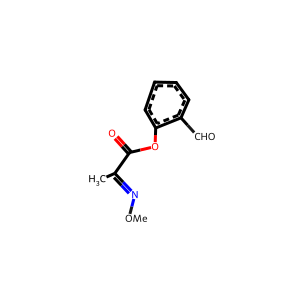 CON=C(C)C(=O)Oc1ccccc1C=O